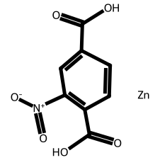 O=C(O)c1ccc(C(=O)O)c([N+](=O)[O-])c1.[Zn]